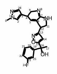 Cn1cc(C2C=C3C(=NC2)NCC3c2cc(C(C)(O)c3cccc(F)c3)on2)cn1